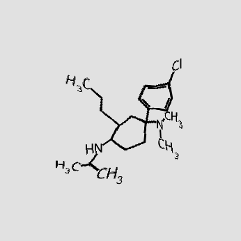 CCCC1CC(c2ccc(Cl)cc2)(N(C)C)CCC1NC(C)C